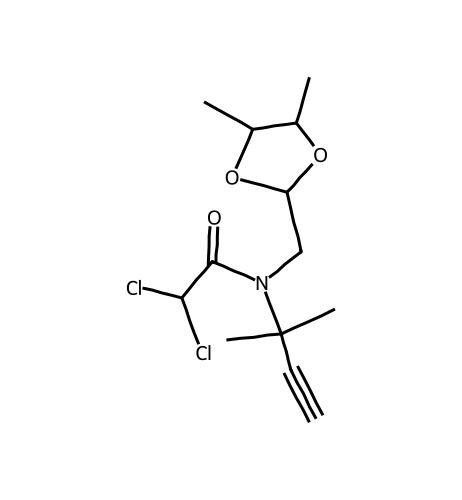 C#CC(C)(C)N(CC1OC(C)C(C)O1)C(=O)C(Cl)Cl